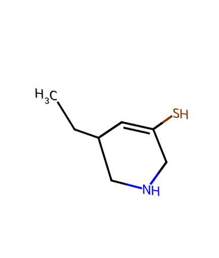 CCC1C=C(S)CNC1